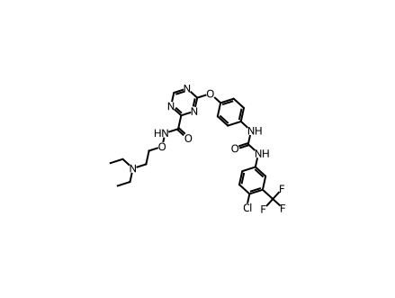 CCN(CC)CCONC(=O)c1ncnc(Oc2ccc(NC(=O)Nc3ccc(Cl)c(C(F)(F)F)c3)cc2)n1